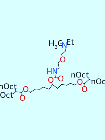 CCCCCCCCC(CCCCCCCC)C(=O)OCCCCCC(CCCCCOC(=O)C(CCCCCCCC)CCCCCCCC)OC(=O)NCCOCCN(C)CC